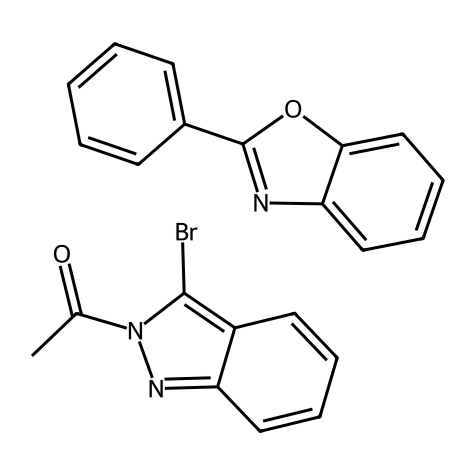 CC(=O)n1nc2ccccc2c1Br.c1ccc(-c2nc3ccccc3o2)cc1